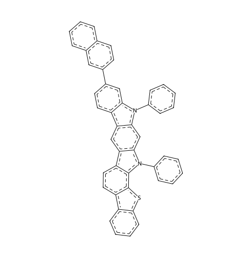 c1ccc(-n2c3cc(-c4ccc5ccccc5c4)ccc3c3cc4c5ccc6c7ccccc7sc6c5n(-c5ccccc5)c4cc32)cc1